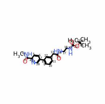 CNC(=O)c1ccc(-c2cccc(CC(=O)NCCNC(=O)OC(C)(C)C)c2)cn1